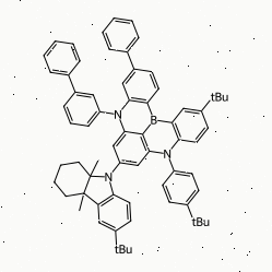 CC(C)(C)c1ccc(N2c3ccc(C(C)(C)C)cc3B3c4ccc(-c5ccccc5)cc4N(c4cccc(-c5ccccc5)c4)c4cc(N5c6ccc(C(C)(C)C)cc6C6(C)CCCCC56C)cc2c43)cc1